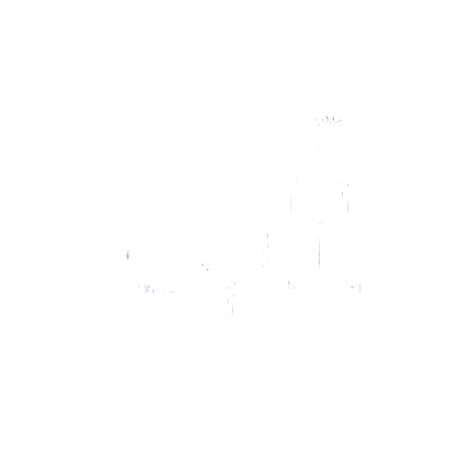 COc1ccc2c(O)nc(-c3csc(NC(C)C)n3)cc2c1